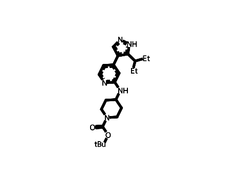 CCC(CC)c1[nH]ncc1-c1ccnc(NC2CCN(C(=O)OC(C)(C)C)CC2)c1